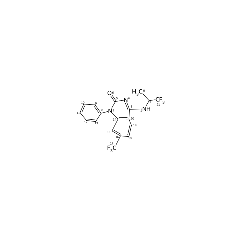 CC(Nc1nc(=O)n(-c2ccccc2)c2cc(C(F)(F)F)ccc12)C(F)(F)F